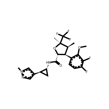 COc1c([C@H]2[C@H](C(=O)N[C@@H]3C[C@H]3c3cnn(C)c3)O[C@@](C)(C(F)(F)F)[C@H]2C)ccc(F)c1F